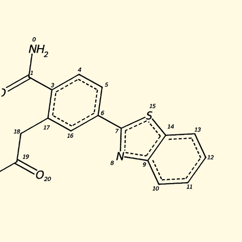 NC(=O)c1ccc(-c2nc3ccccc3s2)cc1CC(=O)O